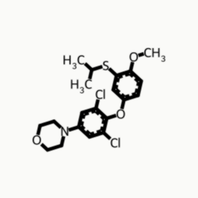 COc1ccc(Oc2c(Cl)cc(N3CCOCC3)cc2Cl)cc1SC(C)C